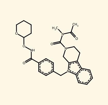 CC(=O)N(C)C(=O)N1CCc2c(n(Cc3ccc(C(=O)NOC4CCCCO4)cc3)c3ccccc23)C1